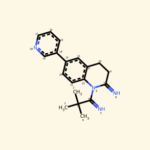 CC(C)(C)C(=N)N1C(=N)CCc2cc(-c3cccnc3)ccc21